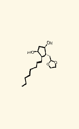 CCCCCC/C=C/[C@@H]1[C@@H](CC2OCCO2)[C@H](O)C[C@@H]1O